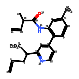 C=CCC(C(=O)OCC)c1cc(-c2ccc([N+](=O)[O-])cc2NC(=O)C(C)C=C)ccn1